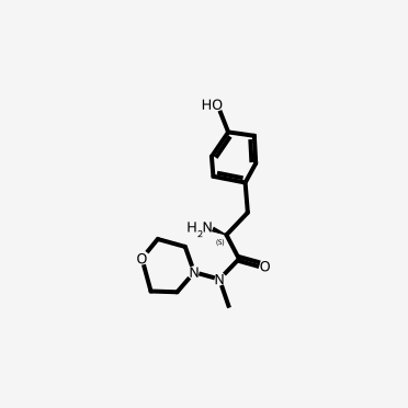 CN(C(=O)[C@@H](N)Cc1ccc(O)cc1)N1CCOCC1